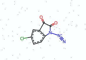 N#[N+]N1C(=O)C(=O)c2cc(Cl)ccc21